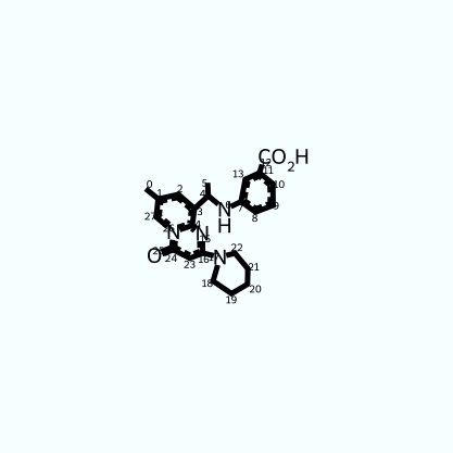 Cc1cc(C(C)Nc2cccc(C(=O)O)c2)c2nc(N3CCCCC3)cc(=O)n2c1